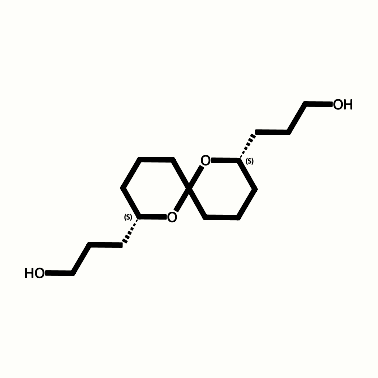 OCCC[C@@H]1CCCC2(CCC[C@@H](CCCO)O2)O1